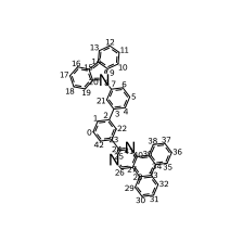 c1cc(-c2cccc(-n3c4ccccc4c4ccccc43)c2)cc(-c2ncc3c4ccccc4c4ccccc4c3n2)c1